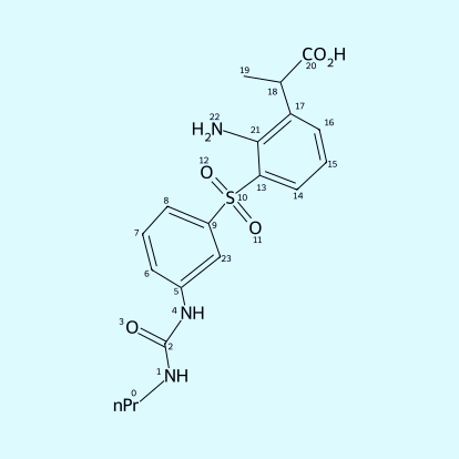 CCCNC(=O)Nc1cccc(S(=O)(=O)c2cccc(C(C)C(=O)O)c2N)c1